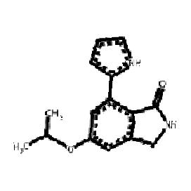 CC(C)Oc1cc2c(c(-c3ccc[nH]3)c1)C(=O)NC2